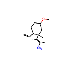 C=CC1CCC(OC)CC1(C)/C(C)=C(\C)N